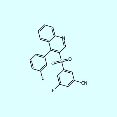 N#Cc1cc(F)cc(S(=O)(=O)c2cnc3ccccc3c2-c2cccc(F)c2)c1